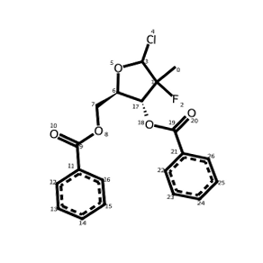 CC1(F)C(Cl)O[C@H](COC(=O)c2ccccc2)[C@H]1OC(=O)c1ccccc1